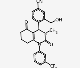 CN1C(=O)N(c2cccc(C(F)(F)F)c2)C2=C(C(=O)CCC2)C1c1ccc(C#N)cc1CO